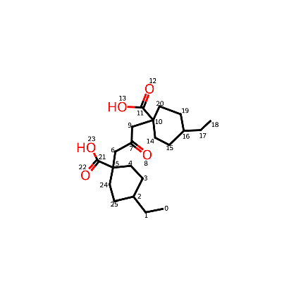 CCC1CCC(CC(=O)CC2(C(=O)O)CCC(CC)CC2)(C(=O)O)CC1